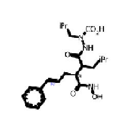 CC(C)CC(C(=O)NN(CC(C)C)C(=O)O)[C@H](C/C=C/c1ccccc1)C(=O)NO